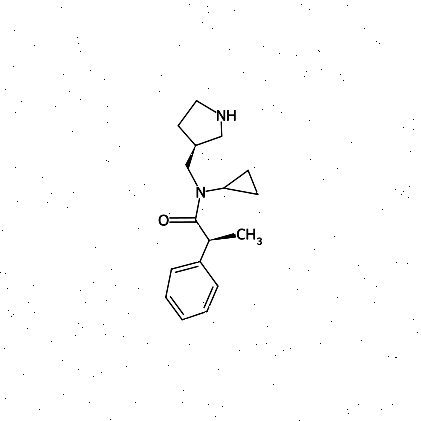 C[C@H](C(=O)N(C[C@H]1CCNC1)C1CC1)c1ccccc1